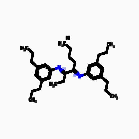 CCCCC(=N\c1cc(CCC)cc(CCC)c1)/C(CC)=N/c1cc(CCC)cc(CCC)c1.[Ni]